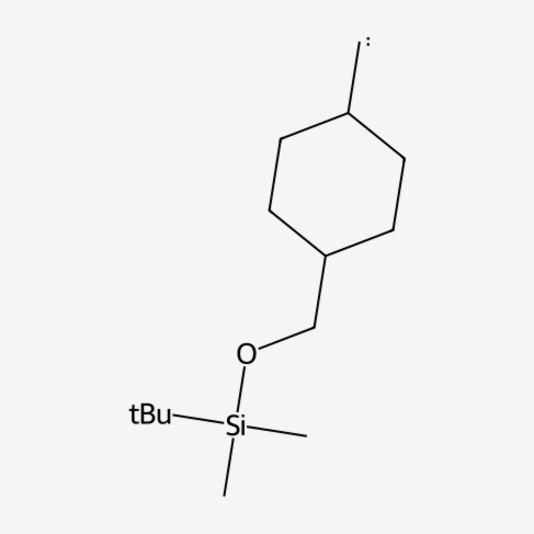 [CH]C1CCC(CO[Si](C)(C)C(C)(C)C)CC1